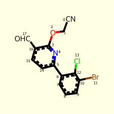 N#CCOc1nc(-c2cccc(Br)c2Cl)ccc1C=O